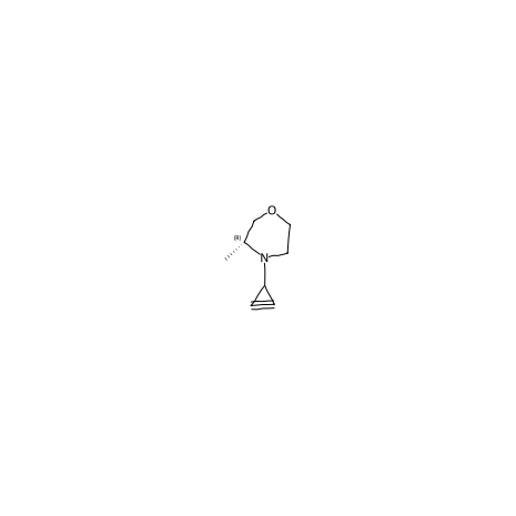 C[C@@H]1COCCN1C1C#C1